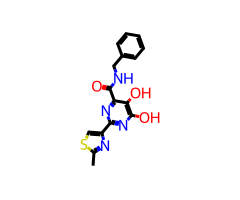 Cc1nc(-c2nc(O)c(O)c(C(=O)NCc3ccccc3)n2)cs1